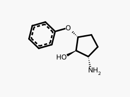 N[C@H]1CC[C@@H](Oc2ccccc2)[C@@H]1O